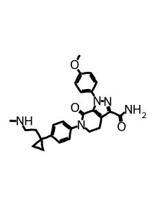 CNCCC1(c2ccc(N3CCc4c(C(N)=O)nn(-c5ccc(OC)cc5)c4C3=O)cc2)CC1